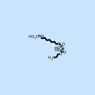 NCCOP(=O)(O)OP(=O)(O)OCCCCCCCNC(=O)O